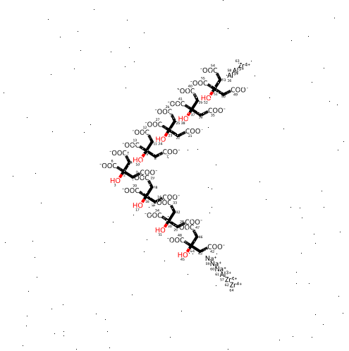 O=C([O-])CC(O)(CC(=O)[O-])C(=O)[O-].O=C([O-])CC(O)(CC(=O)[O-])C(=O)[O-].O=C([O-])CC(O)(CC(=O)[O-])C(=O)[O-].O=C([O-])CC(O)(CC(=O)[O-])C(=O)[O-].O=C([O-])CC(O)(CC(=O)[O-])C(=O)[O-].O=C([O-])CC(O)(CC(=O)[O-])C(=O)[O-].O=C([O-])CC(O)(CC(=O)[O-])C(=O)[O-].O=C([O-])CC(O)(CC(=O)[O-])C(=O)[O-].[Al+3].[Al+3].[Al+3].[Na+].[Na+].[Na+].[Zr+4].[Zr+4].[Zr+4]